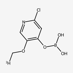 [2H]COc1cnc(Cl)cc1OB(O)O